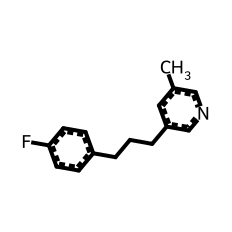 Cc1cncc(CCCc2ccc(F)cc2)c1